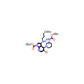 COCCCNc1cn(C(=O)OC(C)(C)C)c2ncc(Br)c(N3CCC[C@@H](NC(=O)OC(C)(C)C)C3)c12